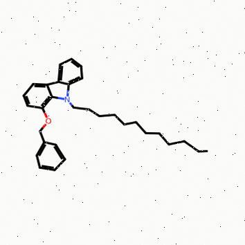 CCCCCCCCCCCCn1c2ccccc2c2cccc(OCc3ccccc3)c21